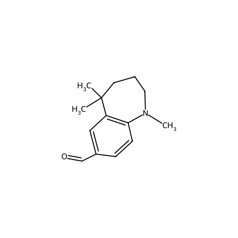 CN1CCCC(C)(C)c2cc(C=O)ccc21